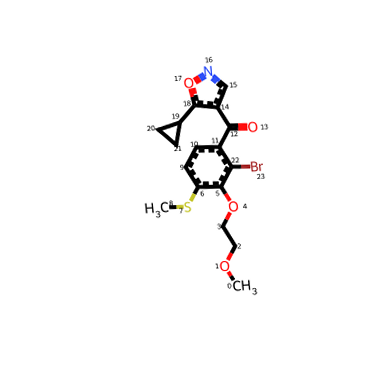 COCCOc1c(SC)ccc(C(=O)c2cnoc2C2CC2)c1Br